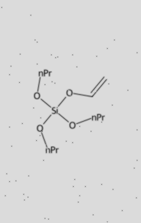 C=CO[Si](OCCC)(OCCC)OCCC